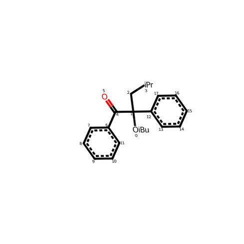 CC(C)COC(CC(C)C)(C(=O)c1ccccc1)c1ccccc1